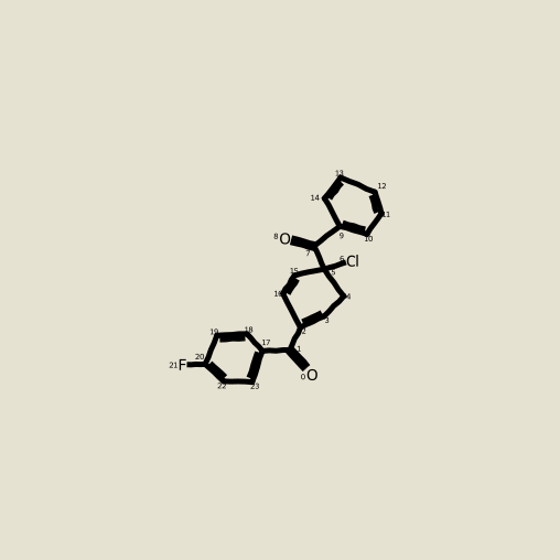 O=C(C1=CCC(Cl)(C(=O)c2ccccc2)C=C1)c1ccc(F)cc1